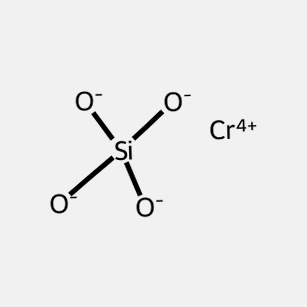 [Cr+4].[O-][Si]([O-])([O-])[O-]